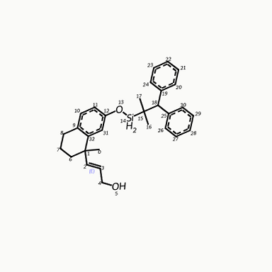 CC1(/C=C/CO)CCCc2ccc(O[SiH2]C(C)(C)C(c3ccccc3)c3ccccc3)cc21